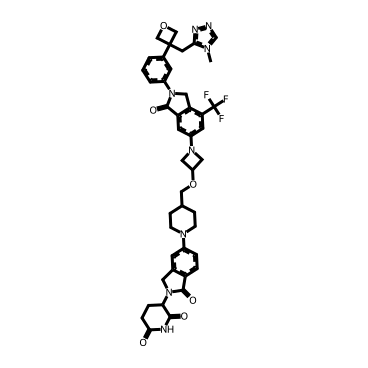 Cn1cnnc1CC1(c2cccc(N3Cc4c(cc(N5CC(OCC6CCN(c7ccc8c(c7)CN(C7CCC(=O)NC7=O)C8=O)CC6)C5)cc4C(F)(F)F)C3=O)c2)COC1